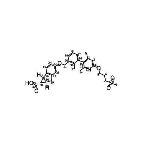 Cc1cc(OCCCS(C)(=O)=O)nc(C)c1-c1cccc(COc2ccc3c(c2)C[C@H]2[C@H](C(=O)O)[C@@H]32)c1C